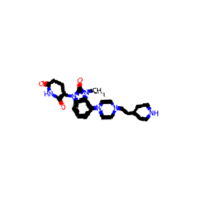 Cn1c(=O)n(C2CCC(=O)NC2=O)c2cccc(N3CCN(CCC4CCNCC4)CC3)c21